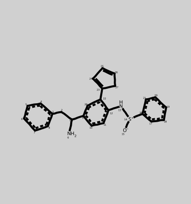 NC(Cc1ccccc1)c1ccc(N[S+]([O-])c2ccccc2)c(C2=CC=CC2)c1